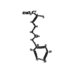 CCOC(=O)C(C)=CCCOCc1ccccc1